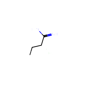 CCCCCCC(=N)N.Cl.Cl